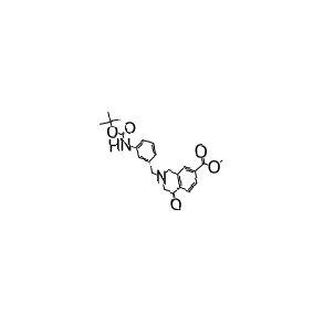 COC(=O)c1ccc2c(c1)CN(Cc1cccc(NC(=O)OC(C)(C)C)c1)CC2=O